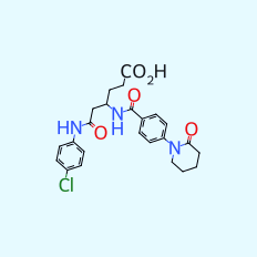 O=C(O)CCC(CC(=O)Nc1ccc(Cl)cc1)NC(=O)c1ccc(N2CCCCC2=O)cc1